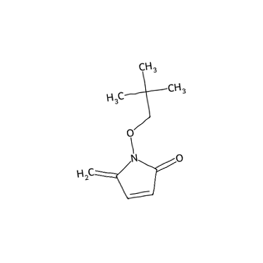 C=C1C=CC(=O)N1OCC(C)(C)C